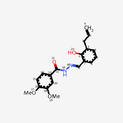 C=CCc1cccc(C=NNC(=O)c2ccc(OC)c(OC)c2)c1O